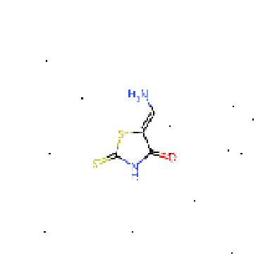 NC=C1SC(=S)NC1=O